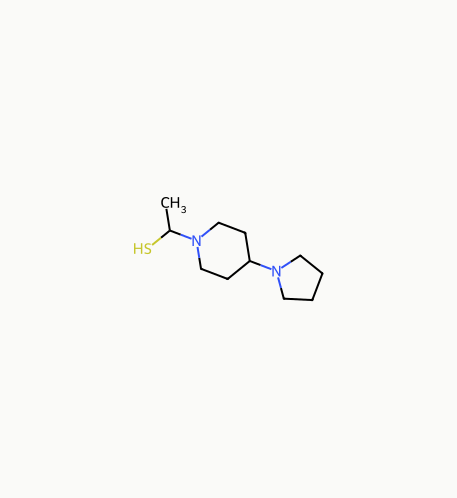 CC(S)N1CCC(N2CCCC2)CC1